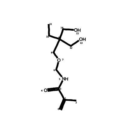 C=C(C)C(=O)NCOCC(CC)(CO)CO